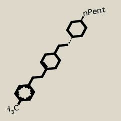 CCCCC[C@H]1CC[C@H](CCC2CC=C(CCc3ccc(C)cc3)CC2)CC1